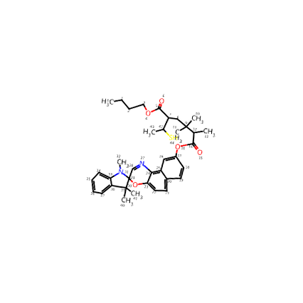 CCCCOC(=O)C(CC(C)(C)C(C)C(=O)Oc1ccc2ccc3c(c2c1)N=CC1(O3)N(C)c2ccccc2C1(C)C)C(C)S